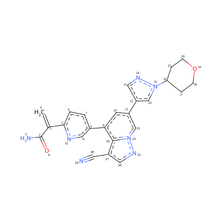 C=C(C(N)=O)c1ccc(-c2cc(-c3cnn(C4CCOCC4)c3)cn3ncc(C#N)c23)cn1